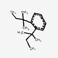 CCC(C)(C)c1[c]cccc1C(C)(C)CC